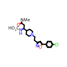 CNC(=O)CC(NC(=O)O)C1CCN(CCc2cc(-c3ccc(Cl)cc3)on2)CC1